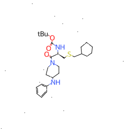 CC(C)(C)OC(=O)N[C@@H](CSCC1CCCCC1)C(=O)N1CCC(Nc2ccccc2)CC1